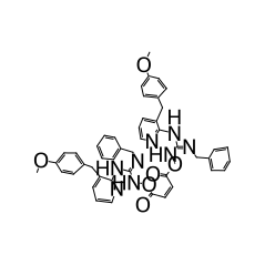 COc1ccc(Cc2cccnc2NC(=NCc2ccccc2)NOC(=O)/C=C\C(=O)ONC(=NCc2ccccc2)Nc2ncccc2Cc2ccc(OC)cc2)cc1